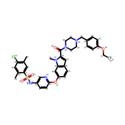 Cc1cc(S(=O)(=O)Nc2ccc(Oc3ccc4cc(C(=O)N5CCN(Cc6ccc(OCC(F)(F)F)cc6)CC5)n(C)c4c3)nc2)c(C)cc1Cl